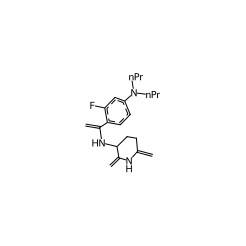 C=C1CCC(NC(=C)c2ccc(N(CCC)CCC)cc2F)C(=C)N1